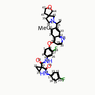 COc1cc2c(Oc3ccc(NC(=O)C4(C(=O)Nc5ccc(F)cc5)CC4)cc3F)ccnc2cc1C(C)N1CCC2(CCOC2)C1